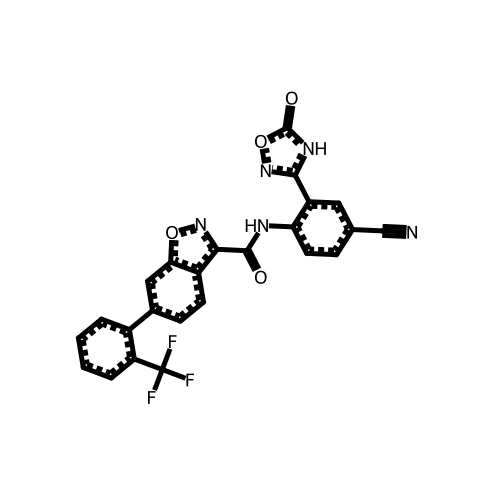 N#Cc1ccc(NC(=O)c2noc3cc(-c4ccccc4C(F)(F)F)ccc23)c(-c2noc(=O)[nH]2)c1